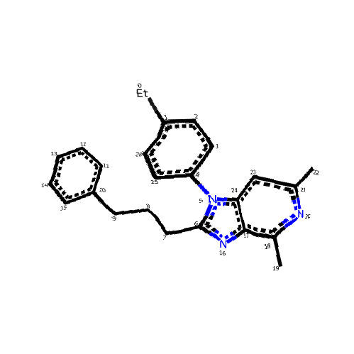 [CH2]Cc1ccc(-n2c(CCCc3ccccc3)nc3c(C)nc(C)cc32)cc1